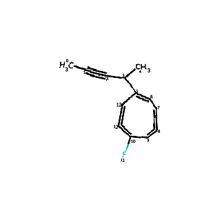 CC#CC(C)/C1=C/C=C=CC(F)=C=C1